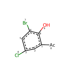 CC(=O)c1cc(Cl)cc(Br)c1O